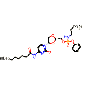 CCCCCCCCCCCCCCCC(=O)Nc1ccn([C@@H]2CO[C@H](COP(=O)(NCCC(=O)O)Oc3ccccc3)O2)c(=O)n1